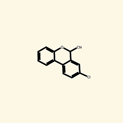 N#CC1Oc2ccccc2-c2ccc(Cl)cc21